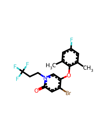 Cc1cc(F)cc(C)c1Oc1cn(CCC(F)(F)F)c(=O)cc1Br